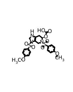 COc1ccc(S(=O)(=O)N2CNC3=C2CN(S(=O)(=O)c2ccc(OC)cc2)[C@H](OC(=O)O)C3)cc1